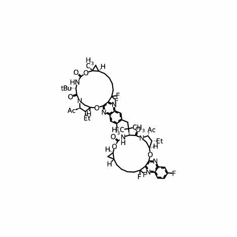 CC[C@@H]1[C@@H]2CN(C(=O)[C@H](C(C)(C)C)NC(=O)O[C@]3(C)C[C@H]3CCCCC(F)(F)c3nc4cc(CC(C)(C)[C@@H]5NC(=O)O[C@@H]6C[C@H]6CCCCC(F)(F)c6nc7ccc(F)cc7nc6O[C@H]6CN(C5=O)[C@H](C(C)=O)[C@@H]6CC)c(F)cc4nc3O2)[C@@H]1C(C)=O